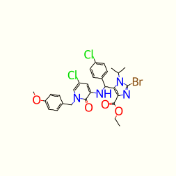 CCOC(=O)c1nc(Br)n(C(C)C)c1C(Nc1cc(Cl)cn(Cc2ccc(OC)cc2)c1=O)c1ccc(Cl)cc1